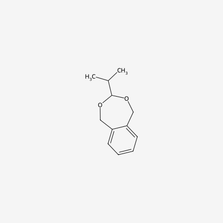 CC(C)C1OCc2ccccc2CO1